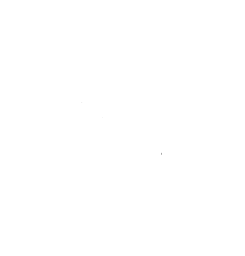 CC(C)OCCOc1ccc(C(=O)CC(=O)O)cc1